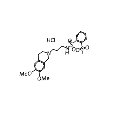 COc1cc2c(cc1OC)CN(CCCNS(=O)(=O)c1ccccc1S(C)(=O)=O)CC2.Cl